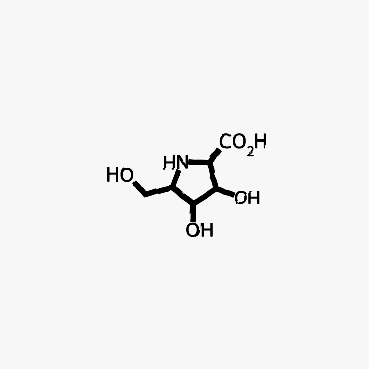 O=C(O)C1NC(CO)C(O)C1O